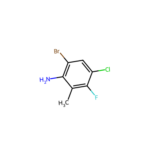 Cc1c(N)c(Br)cc(Cl)c1F